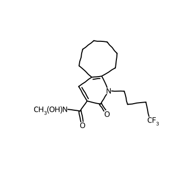 CN(O)C(=O)c1cc2c(n(CCCC(F)(F)F)c1=O)CCCCCC2